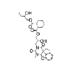 CCC(O)COC(=O)C1CCCCC1C(=O)OCC(O)CN1C(=O)N(C)C(=O)C(CC)(c2ccccc2)C1=O